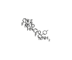 CC1CC=C(c2c(Oc3ccc(NC(=O)c4cnn(-c5ncccc5F)c4C(F)(F)F)cc3F)ccnc2N)CC1